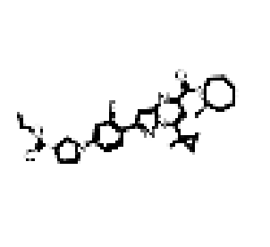 CCOC(=O)[C@H]1CCN(c2ccc(-c3cc4nc(C(=O)N5CCCCC[C@H]5C)cc(C5(C)CC5)n4n3)c(F)c2)C1